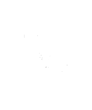 COc1cc(/C=N/NC(=O)C(OC)c2ccc3c(c2)OCCO3)cc(OC)c1Br